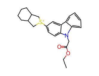 CCOC(=O)Cn1c2ccccc2c2cc([S+]3CC4CCCCC4C3)ccc21